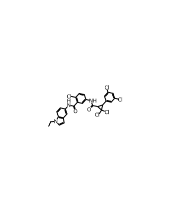 CCn1ccc2cc(NC(=O)c3cc(NC(=O)C4C(c5cc(Cl)cc(Cl)c5)C4(Cl)Cl)ccc3Cl)ccc21